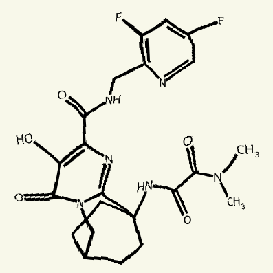 CN(C)C(=O)C(=O)NC12CCC(CC1)Cn1c2nc(C(=O)NCc2ncc(F)cc2F)c(O)c1=O